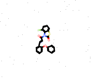 O=C(/C=C/c1ccccc1Oc1ccccc1)n1c(=O)sc2cccc(F)c21